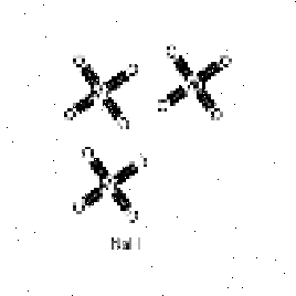 [NaH].[O]=[Mn](=[O])(=[O])=[O].[O]=[Mn](=[O])(=[O])=[O].[O]=[Mn](=[O])(=[O])=[O]